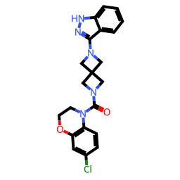 O=C(N1CC2(C1)CN(c1n[nH]c3ccccc13)C2)N1CCOc2cc(Cl)ccc21